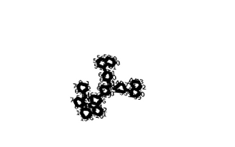 c1ccc(N2c3ccccc3[Si](c3ccccc3)(c3ccccc3)c3ccc(-c4ccc(N(c5ccc(-c6cccc7ccccc67)cc5)c5ccc(-c6cccc7ccccc67)cc5)cc4)cc32)cc1